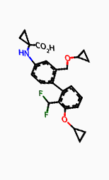 O=C(O)C1(Nc2ccc(-c3cccc(OC4CC4)c3C(F)F)c(COC3CC3)c2)CC1